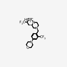 O=C(O)N1CCN(Cc2ccc(N3CCOCC3)cc2C(F)(F)F)C[C@H]1CC(C(F)(F)F)C(F)(F)F